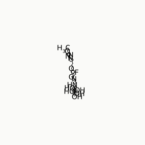 CCOc1cnc(N2CCC(CCCOc3ccc(CC(=O)N4CC(CNC[C@H](O)[C@@H](O)[C@H](O)[C@H](O)CO)C4)c(F)c3)CC2)nc1